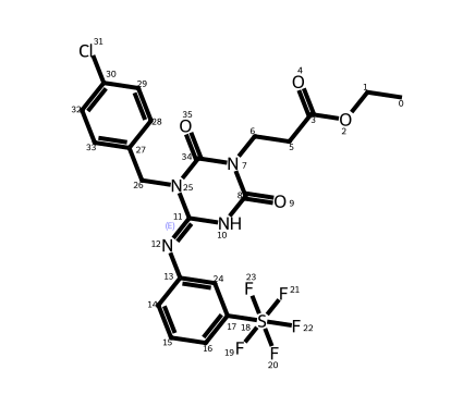 CCOC(=O)CCn1c(=O)[nH]/c(=N\c2cccc(S(F)(F)(F)(F)F)c2)n(Cc2ccc(Cl)cc2)c1=O